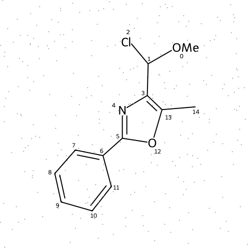 COC(Cl)c1nc(-c2ccccc2)oc1C